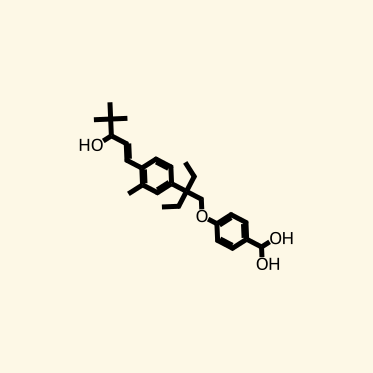 CCC(CC)(COc1ccc(C(O)O)cc1)c1ccc(C=CC(O)C(C)(C)C)c(C)c1